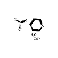 O.O=[PH]([O-])[O-].[Ca+2].c1ccncc1